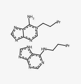 CC(C)CCNc1ncnc2nc[nH]c12.CC(C)CCn1cnc2ncnc-2c1N